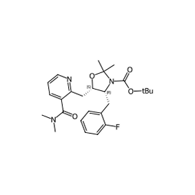 CN(C)C(=O)c1cccnc1C[C@@H]1OC(C)(C)N(C(=O)OC(C)(C)C)[C@@H]1Cc1ccccc1F